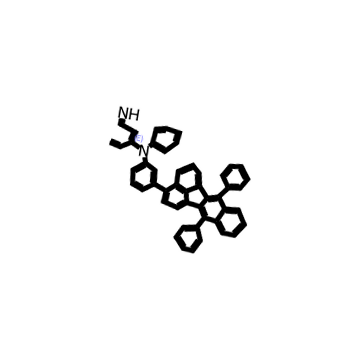 C=C/C(=C\C=N)N(c1ccccc1)c1cccc(-c2ccc3c4c(cccc24)-c2c-3c(-c3ccccc3)c3ccccc3c2-c2ccccc2)c1